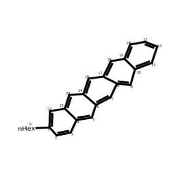 CCCCCCc1ccc2cc3cc4cc5ccccc5cc4cc3cc2c1